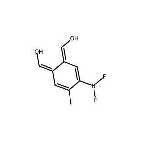 Cc1cc(=CO)c(=CO)cc1N(F)F